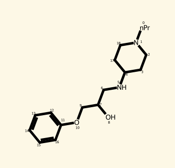 CCCN1CCC(NCC(O)COc2ccccc2)CC1